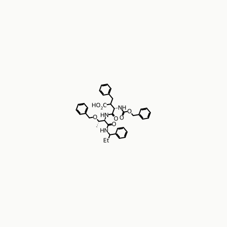 CCC(NC(=O)[C@H](NC(=O)[C@@H](NC(=O)OCc1ccccc1)C(Cc1ccccc1)C(=O)O)[C@H](C)OCc1ccccc1)c1ccccc1